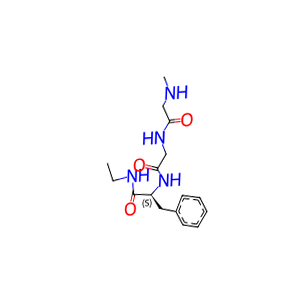 CCNC(=O)[C@H](Cc1ccccc1)NC(=O)CNC(=O)CNC